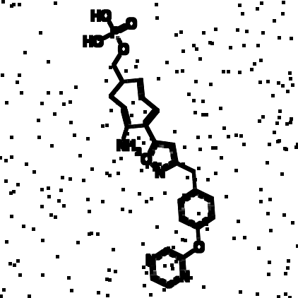 NC1=C\CC(COP(=O)(O)O)/C=C/C=C\1c1cc(Cc2ccc(Oc3cnccn3)cc2)no1